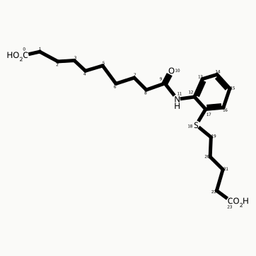 O=C(O)CCCCCCCCC(=O)Nc1ccccc1SCCCCC(=O)O